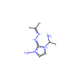 CC(C)=NN=c1n(N)ccn1C(C)N